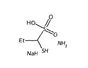 CCC(S)S(=O)(=O)O.N.[NaH]